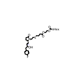 CCCCCCC(=O)OCCOC(=O)CCCSCCN1C(=O)CC[C@@H]1/C=C/[C@@H](O)CC1=CCC(F)C=C1